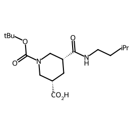 CC(C)CCNC(=O)[C@@H]1C[C@H](C(=O)O)CN(C(=O)OC(C)(C)C)C1